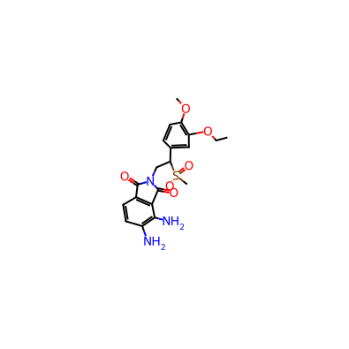 CCOc1cc(C(CN2C(=O)c3ccc(N)c(N)c3C2=O)S(C)(=O)=O)ccc1OC